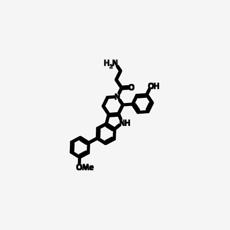 COc1cccc(-c2ccc3[nH]c4c(c3c2)CCN(C(=O)CCN)C4c2cccc(O)c2)c1